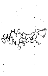 CC(=O)N1CCN(C(=O)c2ccc3c([C@H]4CN(C5CCc6cccc(F)c65)C[C@@H]4N(C)C)cn(C)c3c2)CC1